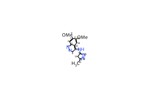 COc1cc2nncc(NC3=NN=C(C)C3)c2cc1OC